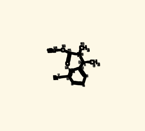 C[C@@H](c1cccc(Br)n1)N(C)C(=O)OC(C)(C)C